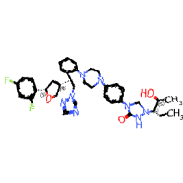 CC[C@@H]([C@H](C)O)N1CN(c2ccc(N3CCN(c4ccccc4C(Cn4cncn4)[C@@H]4CO[C@H](c5ccc(F)cc5F)C4)CC3)cc2)C(=O)N1